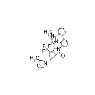 CC1CN(Cc2cc3c(c(C(F)(F)F)c2)CN(c2cccc(-c4ccccc4-c4nncn4C)c2)C3=O)CCO1